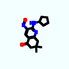 CC1(C)CC(=O)c2cc(N=O)c(NC3CCCC3)nc2C1